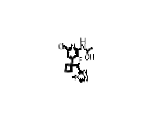 CC(O)Nc1cc(C2(C(F)c3nncn3C)CCC2)cc(Cl)n1